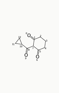 O=C1CCCC(=O)C1C(=O)C1CC1